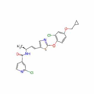 C[C@@H](/C=C/c1cnc(Oc2ccc(OCC3CC3)cc2Cl)s1)NC(=O)c1ccnc(Cl)c1